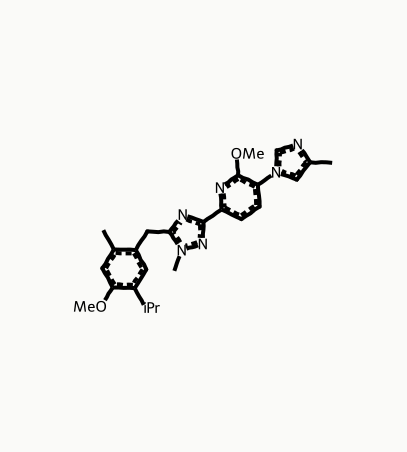 COc1cc(C)c(Cc2nc(-c3ccc(-n4cnc(C)c4)c(OC)n3)nn2C)cc1C(C)C